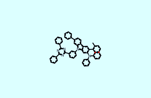 Cc1ccccc1-c1cc2c3ccc(-c4ccccc4)cc3n(-c3cccc(-c4nc(-c5ccccc5)nc(-c5ccccc5)n4)c3)c2cc1N(c1ccccc1)c1ccccc1